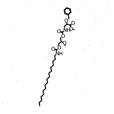 CCCCCCCCCCCCCCCCCCNC(=O)OCC(COC(=O)NCC(OCc1ccccc1)C(=O)OC)OC